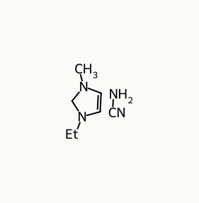 CCN1C=CN(C)C1.N#CN